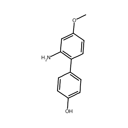 COc1ccc(-c2ccc(O)cc2)c(N)c1